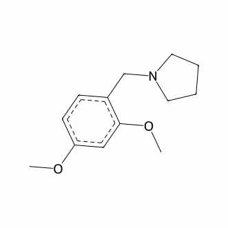 COc1ccc(CN2CCCC2)c(OC)c1